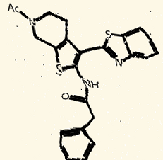 CC(=O)N1CCc2c(sc(NC(=O)Cc3ccccc3)c2-c2nc3ccccc3s2)C1